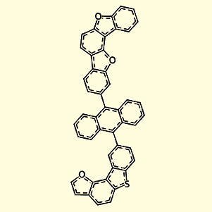 c1ccc2c(c1)oc1ccc3c4ccc(-c5c6ccccc6c(-c6ccc7sc8ccc9ccoc9c8c7c6)c6ccccc56)cc4oc3c12